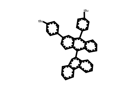 CC(C)(C)c1ccc(-c2ccc3c(-c4cc5ccccc5c5ccccc45)c4ccccc4c(-c4ccc(C(C)(C)C)cc4)c3c2)cc1